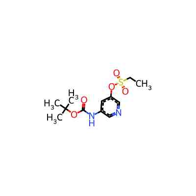 CCS(=O)(=O)Oc1cncc(NC(=O)OC(C)(C)C)c1